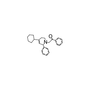 O=C(CN1CCC(C2CCCCC2)=CC1c1ccccc1)c1ccccc1